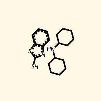 C1CCC(NC2CCCCC2)CC1.Sc1nc2ccccc2s1